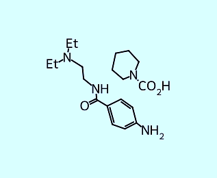 CCN(CC)CCNC(=O)c1ccc(N)cc1.O=C(O)N1CCCCC1